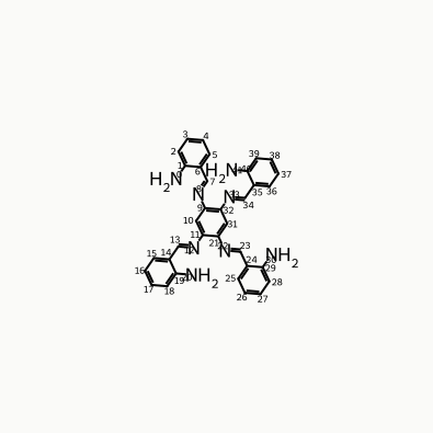 Nc1ccccc1C=Nc1cc(N=Cc2ccccc2N)c(N=Cc2ccccc2N)cc1N=Cc1ccccc1N